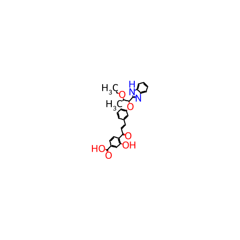 CCOC(C)C(Oc1cccc(C=CC(=O)c2ccc(C(=O)O)cc2O)c1)c1nc2ccccc2[nH]1